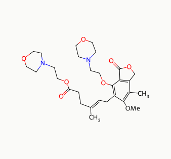 COc1c(C)c2c(c(OCCN3CCOCC3)c1C/C=C(\C)CCC(=O)OCCN1CCOCC1)C(=O)OC2